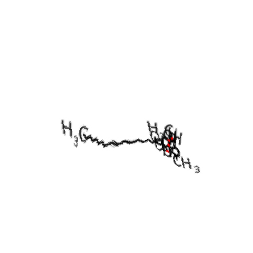 CCCCCCCCCCCCCCCCC(=O)OC1=CC[C@@]2(O)[C@H]3Cc4ccc(C)c5c4[C@@]2(CCN3C)[C@H]1O5